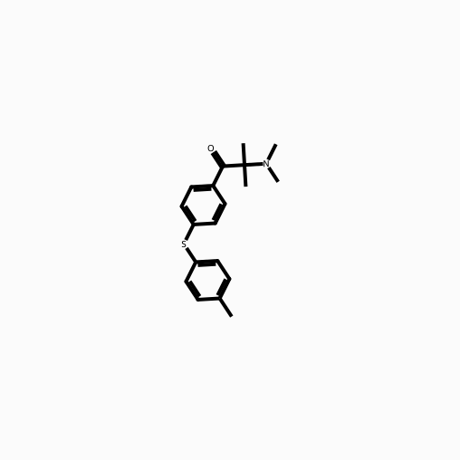 Cc1ccc(Sc2ccc(C(=O)C(C)(C)N(C)C)cc2)cc1